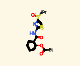 CCC(=O)Oc1ccccc1C(=O)Nc1nc([S+]([O-])C(C)C)cs1